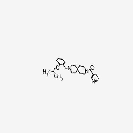 CC(C)COc1ccccc1CN1CCC2(CC1)CCN(C(=O)c1cncnc1)CC2